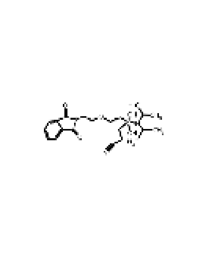 CC(C)N(C(C)C)P(O)(O)(CCC#N)CCOCCN1C(=O)c2ccccc2C1=O